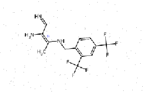 C/C(NCc1ccc(C(F)(F)F)cc1C(F)(F)F)=C(\N)C=N